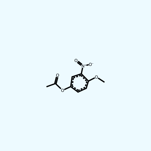 COc1ccc(OC(C)=O)cc1[N+](=O)[O-]